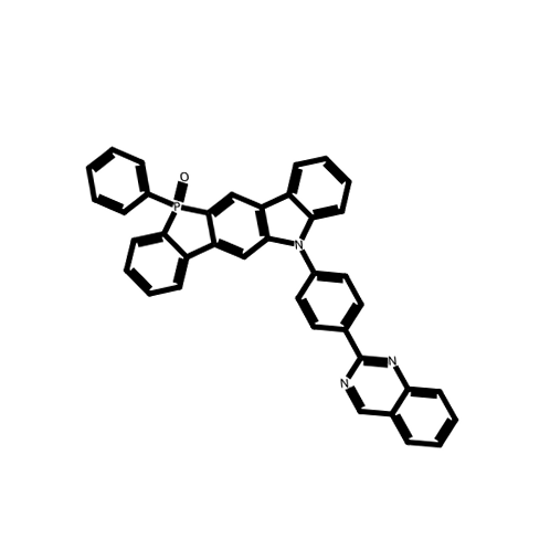 O=P1(c2ccccc2)c2ccccc2-c2cc3c(cc21)c1ccccc1n3-c1ccc(-c2ncc3ccccc3n2)cc1